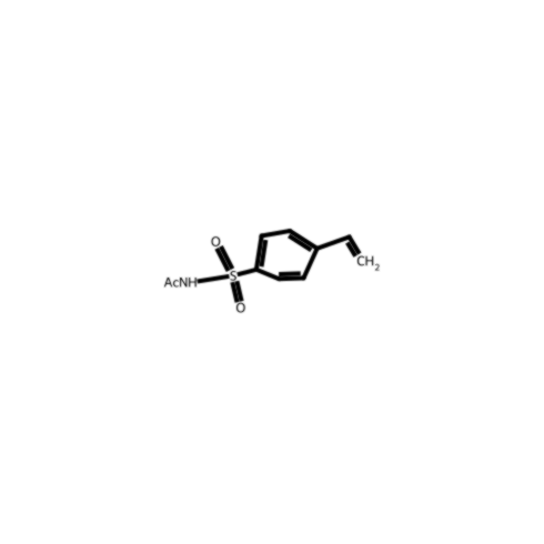 C=Cc1ccc(S(=O)(=O)NC(C)=O)cc1